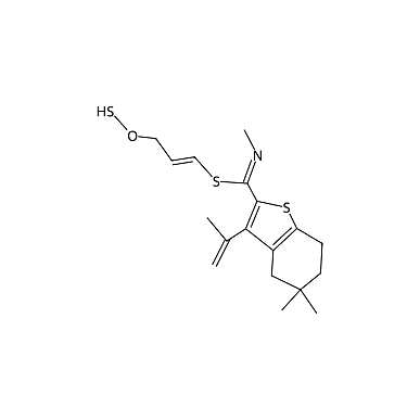 C=C(C)c1c(/C(=N/C)S/C=C/COS)sc2c1CC(C)(C)CC2